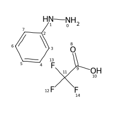 NNc1ccccc1.O=C(O)C(F)(F)F